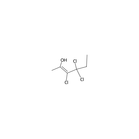 CCC(Cl)(Cl)C(Cl)=C(C)O